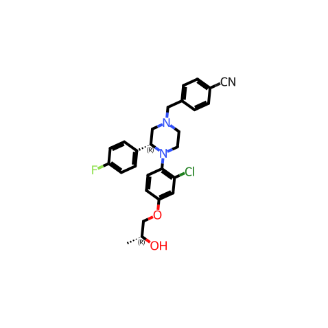 C[C@@H](O)COc1ccc(N2CCN(Cc3ccc(C#N)cc3)C[C@H]2c2ccc(F)cc2)c(Cl)c1